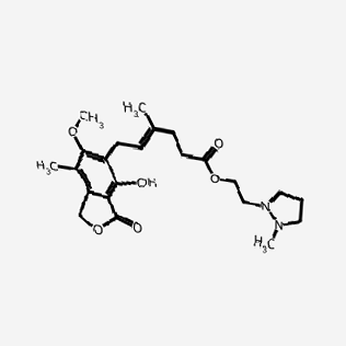 COc1c(C)c2c(c(O)c1C/C=C(\C)CCC(=O)OCCN1CCCN1C)C(=O)OC2